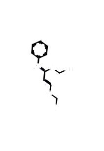 CCOC(/C=C/SCC)=N\c1ccccc1